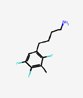 Cc1c(F)c(F)cc(CCCCN)c1F